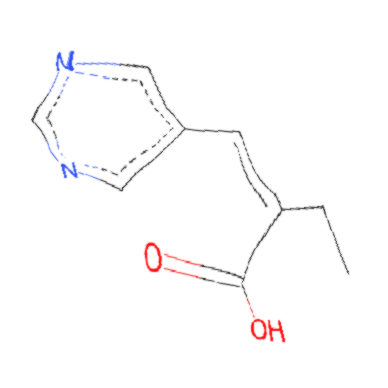 CCC(=Cc1cncnc1)C(=O)O